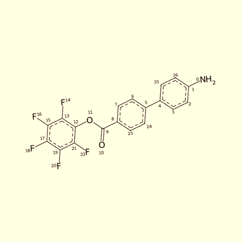 Nc1ccc(-c2ccc(C(=O)Oc3c(F)c(F)c(F)c(F)c3F)cc2)cc1